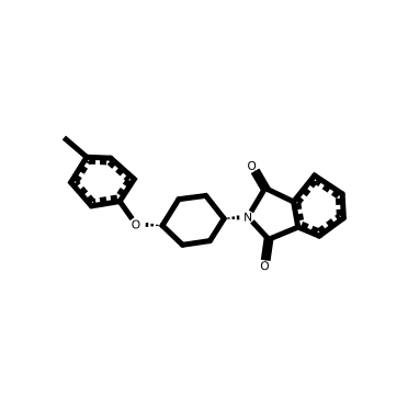 Cc1ccc(O[C@H]2CC[C@@H](N3C(=O)c4ccccc4C3=O)CC2)cc1